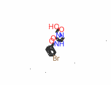 O=C(O)Cn1nccc(NC(=O)C2C3CC4CC2CC(Br)(C4)C3)c1=O